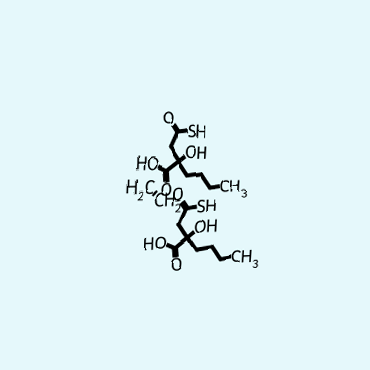 C=C.CCCCC(O)(CC(=O)S)C(=O)O.CCCCC(O)(CC(=O)S)C(=O)O